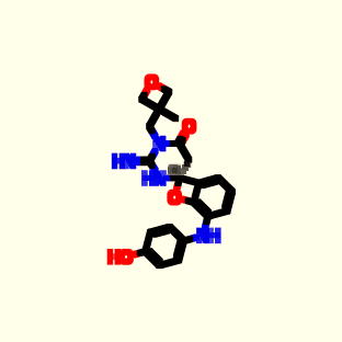 CC1(CN2C(=N)N[C@]3(CC2=O)Oc2c(Nc4ccc(O)cc4)cccc23)COC1